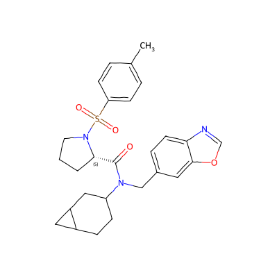 Cc1ccc(S(=O)(=O)N2CCC[C@H]2C(=O)N(Cc2ccc3ncoc3c2)C2CCC3CC3C2)cc1